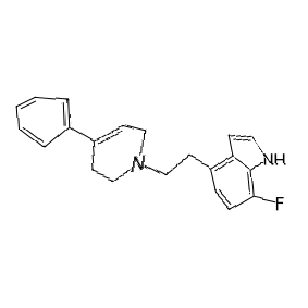 Fc1ccc(CCN2CC=C(c3ccccc3)CC2)c2cc[nH]c12